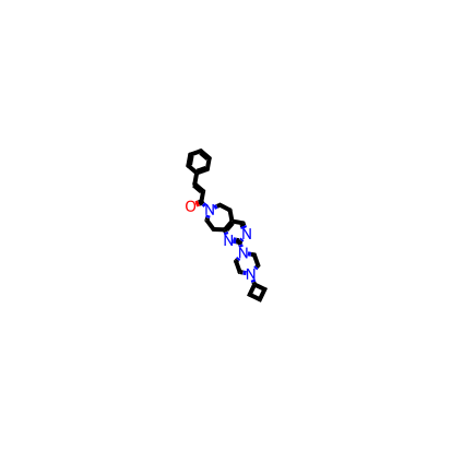 O=C(C=Cc1ccccc1)N1CCc2cnc(N3CCN(C4CCC4)CC3)nc2CC1